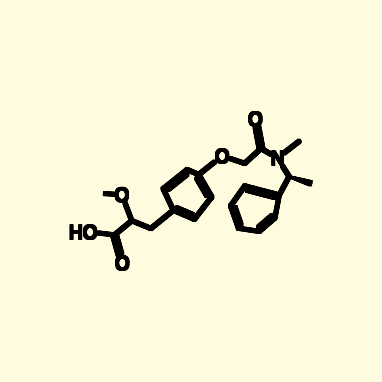 COC(Cc1ccc(OCC(=O)N(C)[C@@H](C)c2ccccc2)cc1)C(=O)O